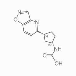 O=C(O)N[C@H]1CC[C@H](c2ccc3oncc3n2)C1